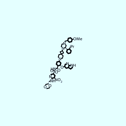 COc1ccc(CN2CCN(C3CC4(CCN(c5ccc(C(=O)NS(=O)(=O)c6cnc(NC[C@H]7COCCO7)c([N+](=O)[O-])c6)c(Oc6cnc7[nH]ccc7c6)c5)CC4)C3)[C@H](c3ccccc3C(C)C)C2)cc1